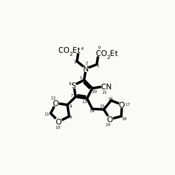 CCOC(=O)CN(CC(=O)OCC)c1sc(C2COCO2)c(CC2COCO2)c1C#N